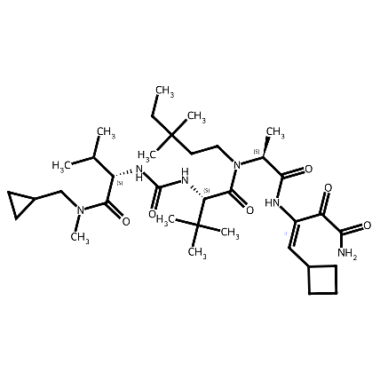 CCC(C)(C)CCN(C(=O)[C@@H](NC(=O)N[C@H](C(=O)N(C)CC1CC1)C(C)C)C(C)(C)C)[C@@H](C)C(=O)N/C(=C/C1CCC1)C(=O)C(N)=O